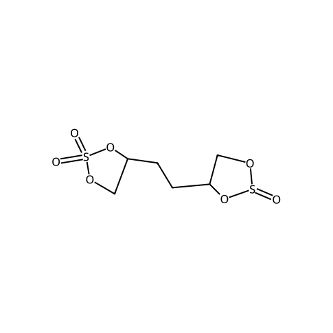 O=S1OCC(CCC2COS(=O)(=O)O2)O1